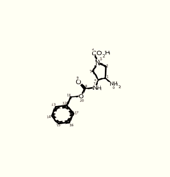 NC1CN(C(=O)O)CC1NC(=O)OCc1ccccc1